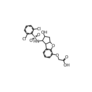 O=C(O)COc1cccc2c1OC1CC(O)C(NS(=O)(=O)c3c(Cl)cccc3Cl)C21